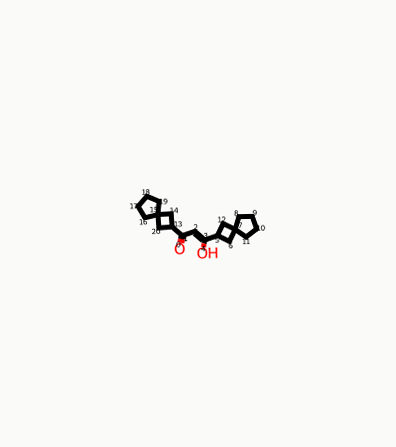 O=C(/C=C(\O)C1CC2(CCCC2)C1)C1CC2(CCCC2)C1